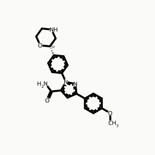 COc1ccc(-c2cc(C(N)=O)n(-c3ccc([C@H]4CNCCO4)cc3)n2)cc1